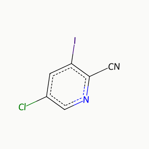 N#Cc1ncc(Cl)cc1I